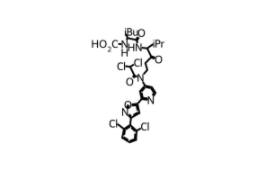 CCC(C)C(NC(=O)O)C(=O)NC(C(=O)CCN(C(=O)C(Cl)Cl)c1ccnc(-c2cc(-c3c(Cl)cccc3Cl)no2)c1)C(C)C